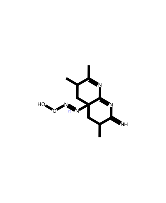 CC1=NC2=NC(=N)C(C)CC2(/N=N/OO)CC1C